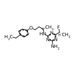 CCc1ccc(OCC[C@H](C)Nc2nc(N)nc([C@@H](C)F)n2)cc1